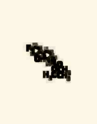 CC(C)(C)OC(=O)n1cc2ccc(-c3ccc(F)cc3O)cc2c1